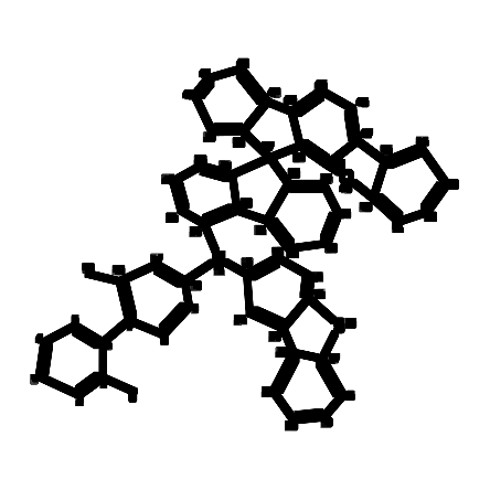 Cc1ccccc1-c1ccc(N(c2ccc3sc4ccccc4c3c2)c2cccc3c2-c2ccccc2C32c3ccccc3-c3ccc4c(oc5ccccc54)c32)cc1C